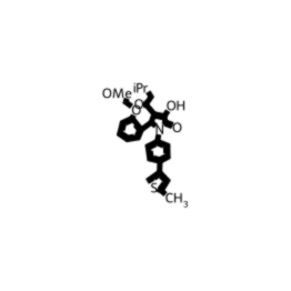 COCOc1ccccc1C1C(C(=O)CC(C)C)=C(O)C(=O)N1c1ccc(-c2csc(C)c2)cc1